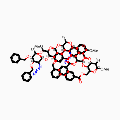 [2H]C1[C@@H](OC)OC(COC(=O)c2ccccc2)[C@@H](O[C@@H]2OC(C(=O)OC)[C@H](O[C@@H]3OC(CC)[C@@H](O[C@@H]4OC(C(=O)OC)[C@@H](O[C@H]5OC(CC)[C@@H](OCc6ccccc6)[C@H](OCc6ccccc6)C5N=[N+]=[N-])[C@H](OCc5ccccc5)C4OCc4ccccc4)[C@H](C)C3N=[N+]=[N-])[C@@H](OCc3ccccc3)C2OC(=O)c2ccccc2)[C@@H]1OCc1ccccc1